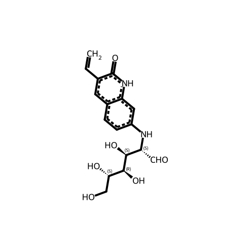 C=Cc1cc2ccc(N[C@H](C=O)[C@H](O)[C@@H](O)[C@@H](O)CO)cc2[nH]c1=O